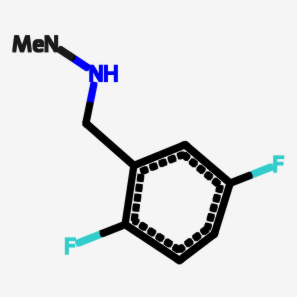 CNNCc1cc(F)ccc1F